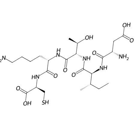 CC[C@H](C)[C@H](NC(=O)[C@@H](N)CC(=O)O)C(=O)N[C@H](C(=O)N[C@@H](CCCCN)C(=O)N[C@@H](CS)C(=O)O)[C@@H](C)O